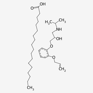 C=CCOc1ccccc1OCC(O)CNC(C)C.CCCCCCCCCCCCCCCCCC(=O)O